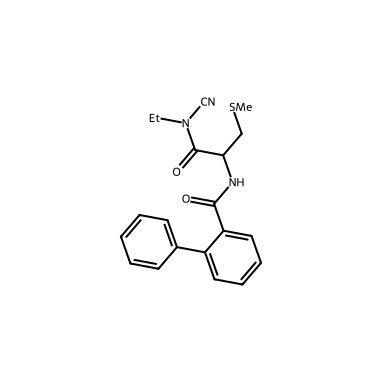 CCN(C#N)C(=O)C(CSC)NC(=O)c1ccccc1-c1ccccc1